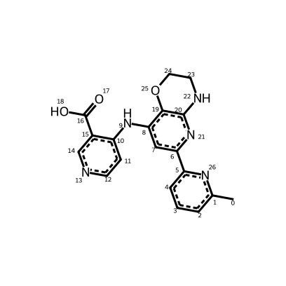 Cc1cccc(-c2cc(Nc3ccncc3C(=O)O)c3c(n2)NCCO3)n1